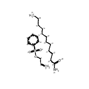 C=CCOS(=O)(=O)c1ccccc1.CCCCCCCCCCCC(N)=O